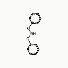 c1ccc(O[SiH]Oc2ccccc2)cc1